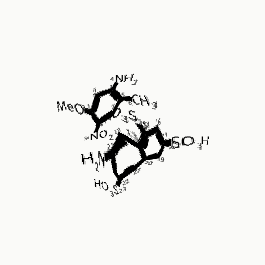 COc1cc(N)c(C)cc1[N+](=O)[O-].Nc1cc2c(S(=O)(=O)O)cc(S(=O)(=O)O)cc2cc1S(=O)(=O)O